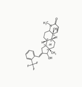 CN1C(=O)C=C[C@@]2(C)C1CC[C@@H]1[C@H]2CC[C@]2(C)C(O)C(=Cc3ccccc3C(F)(F)F)C[C@@H]12